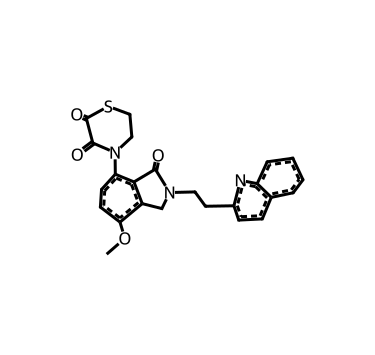 COc1ccc(N2CCSC(=O)C2=O)c2c1CN(CCc1ccc3ccccc3n1)C2=O